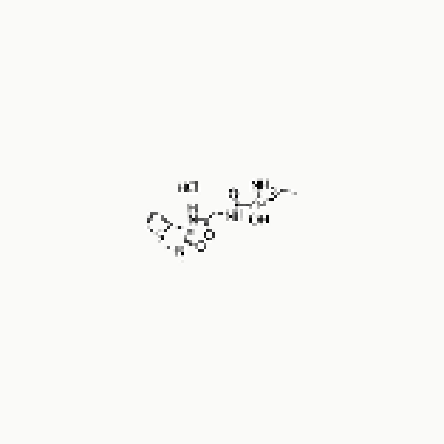 CCC[C@H](N)C(O)C(=O)NCC(=O)N[C@H](C(=O)N(C)C)c1cccs1.Cl